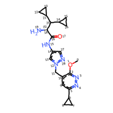 COc1nnc(C2CC2)cc1Cn1cc(NC(=O)[C@@H](N)C(C2CC2)C2CC2)cn1